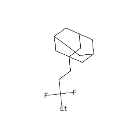 CCC(F)(F)CCC12CC3CC(CC(C3)C1)C2